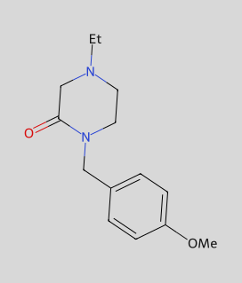 CCN1CCN(Cc2ccc(OC)cc2)C(=O)C1